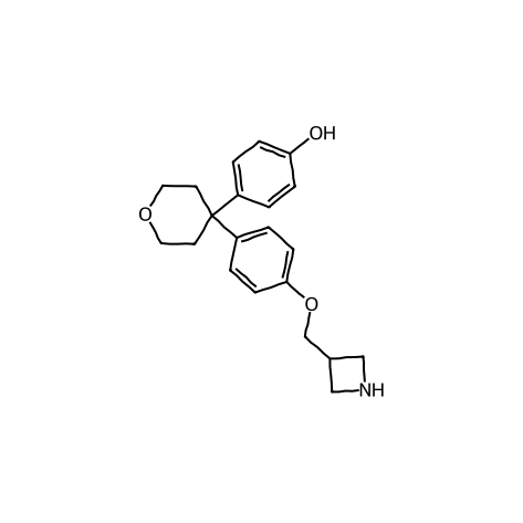 Oc1ccc(C2(c3ccc(OCC4CNC4)cc3)CCOCC2)cc1